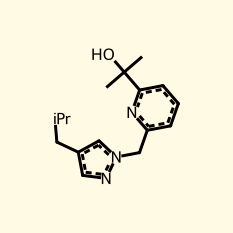 CC(C)Cc1cnn(Cc2cccc(C(C)(C)O)n2)c1